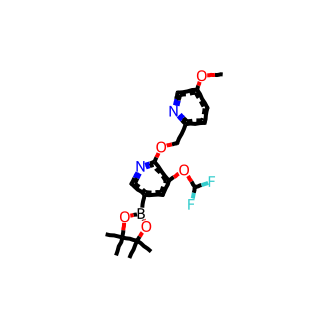 COc1ccc(COc2ncc(B3OC(C)(C)C(C)(C)O3)cc2OC(F)F)nc1